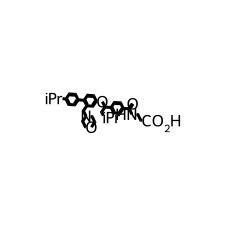 CC(C)CC(Oc1ccc(-c2ccc(C(C)C)cc2)c(CN2CCOCC2)c1)c1ccc(C(=O)NCCC(=O)O)cc1